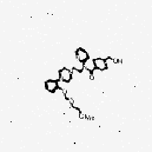 COCCOCOc1ccccc1N1CCN(CCN(C(=O)C2CCC(CO)CC2)c2ccccn2)CC1